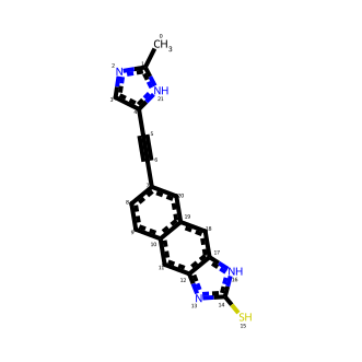 Cc1ncc(C#Cc2ccc3cc4nc(S)[nH]c4cc3c2)[nH]1